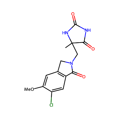 COc1cc2c(cc1Cl)C(=O)N(CC1(C)NC(=O)NC1=O)C2